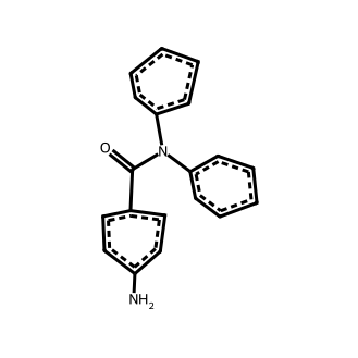 Nc1ccc(C(=O)N(c2ccccc2)c2ccccc2)cc1